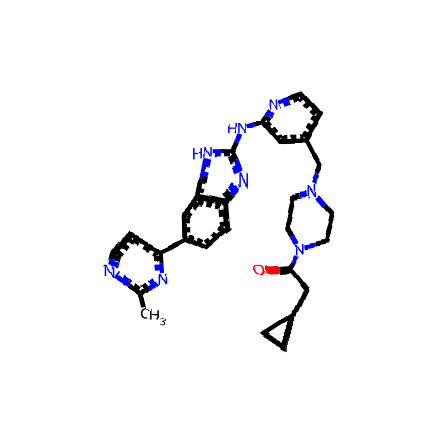 Cc1nccc(-c2ccc3nc(Nc4cc(CN5CCN(C(=O)CC6CC6)CC5)ccn4)[nH]c3c2)n1